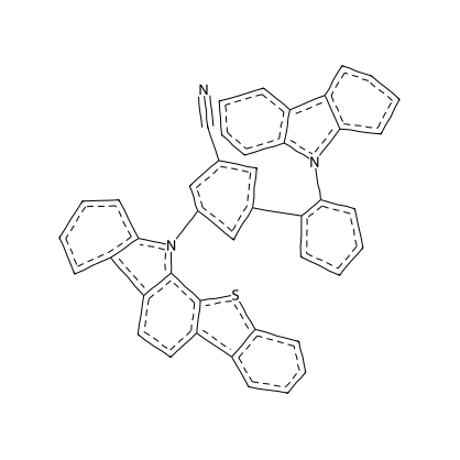 N#Cc1cc(-c2ccccc2-n2c3ccccc3c3ccccc32)cc(-n2c3ccccc3c3ccc4c5ccccc5sc4c32)c1